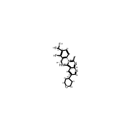 Cc1nc(N[C@H](C)c2cccc(C(F)F)c2F)c2cc(C3CCOCC3)cnc2n1